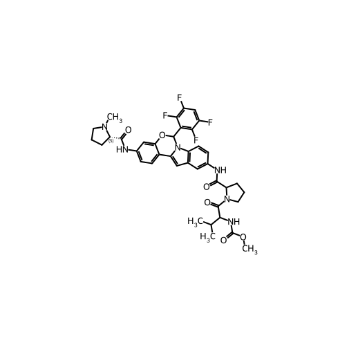 COC(=O)NC(C(=O)N1CCCC1C(=O)Nc1ccc2c(c1)cc1n2C(c2c(F)c(F)cc(F)c2F)Oc2cc(NC(=O)[C@@H]3CCCN3C)ccc2-1)C(C)C